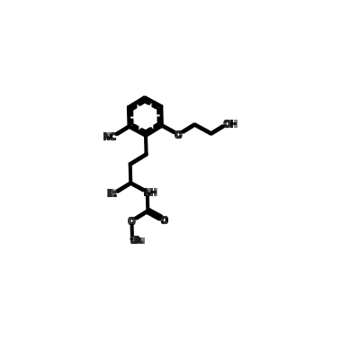 CCC(CCc1c(C#N)cccc1OCCO)NC(=O)OC(C)(C)C